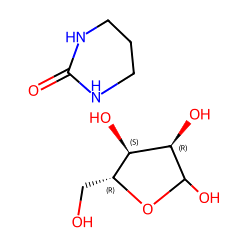 O=C1NCCCN1.OC[C@H]1OC(O)[C@H](O)[C@@H]1O